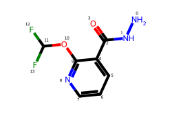 NNC(=O)c1cccnc1OC(F)F